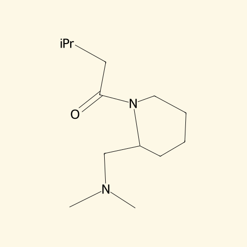 CC(C)CC(=O)N1CCCCC1CN(C)C